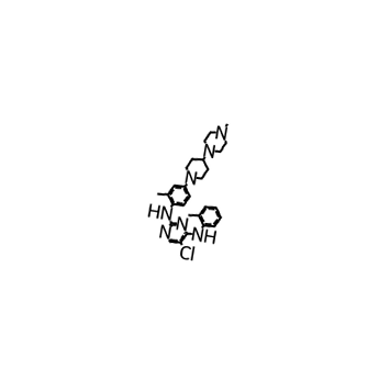 Cc1cc(N2CCC(N3CCN(C)CC3)CC2)ccc1Nc1ncc(Cl)c(Nc2ccccc2C)n1